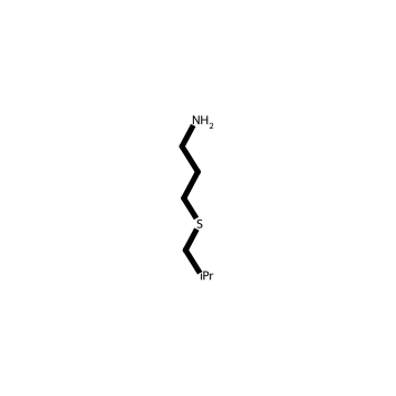 CC(C)CSCCCN